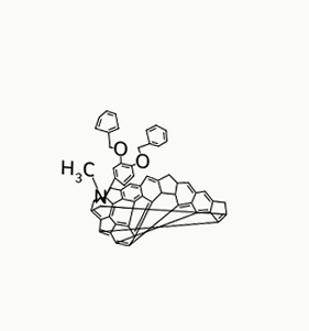 CN1CC2C3=c4c5c6c7c(cc8c9c%10c%11c%12c%13c%14c(cc%15c%16c(c4c(c5c%11c79)c%12c%14%16)=C(C3)C%15)=CC3CC(=C8)C%10C%133)CC62C1c1ccc(OCc2ccccc2)c(OCc2ccccc2)c1